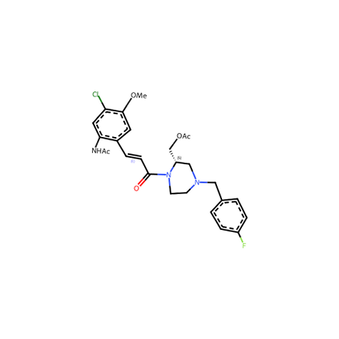 COc1cc(/C=C/C(=O)N2CCN(Cc3ccc(F)cc3)C[C@H]2COC(C)=O)c(NC(C)=O)cc1Cl